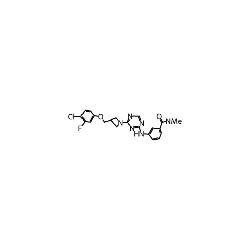 CNC(=O)c1cccc(Nc2ncnc(N3CC(COc4ccc(Cl)c(F)c4)C3)n2)c1